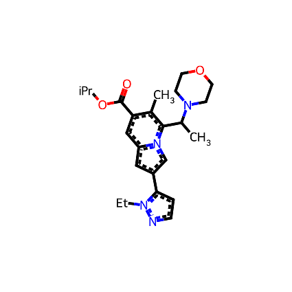 CCn1nccc1-c1cc2cc(C(=O)OC(C)C)c(C)c(C(C)N3CCOCC3)n2c1